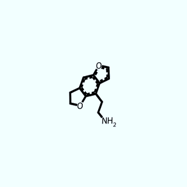 NCCc1c2c(cc3occc13)CCO2